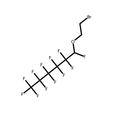 FC(OCCBr)C(F)(F)C(F)(F)C(F)(F)C(F)(F)C(F)(F)F